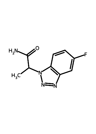 CC(C(N)=O)n1nnc2cc(F)ccc21